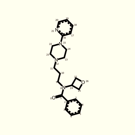 O=C(c1ccccc1)N(CCCN1CCN(c2ccccn2)CC1)C1COC1